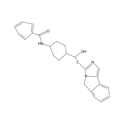 O=C(NC1CCC(C(O)Cc2ncc3n2Cc2ccccc2-3)CC1)c1ccccc1